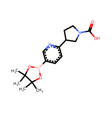 CC1(C)OB(c2ccc(C3CCN(C(=O)O)C3)nc2)OC1(C)C